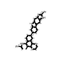 C=C(Nc1c(C)c2nccnc2c2cc(-c3ccc4c(c3)sc3cc5nc(C(C)C)[nH]c5cc34)ccc12)C(C)C